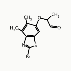 Cc1c(OC(C)C=O)cc2sc(Br)nc2c1C